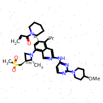 C=CC(=O)N1CCCC[C@@H]1c1cc(N2C[C@H](CS(C)(=O)=O)[C@H]2C)c2cnc(Nc3ccnc(N4CCC(OC)CC4)n3)cc2c1C(C)C